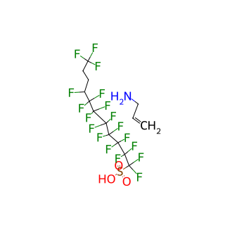 C=CCN.O=S(=O)(O)C(F)(F)C(F)(F)C(F)(F)C(F)(F)C(F)(F)C(F)(F)C(F)(F)C(F)CCC(F)(F)F